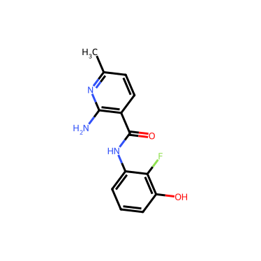 Cc1ccc(C(=O)Nc2cccc(O)c2F)c(N)n1